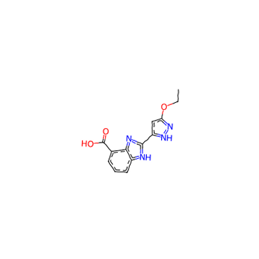 CCOc1cc(-c2nc3c(C(=O)O)cccc3[nH]2)[nH]n1